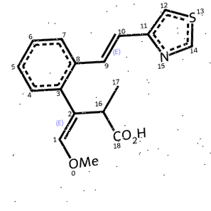 CO/C=C(/c1ccccc1/C=C/c1cscn1)C(C)C(=O)O